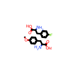 COc1ccc(CC(N)C(=O)O)cc1.NC(Cc1ccc(F)cc1)C(=O)O